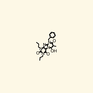 CCCn1c(=O)c2c(nc3n(Cc4ccccc4)c(=O)c(C)c(O)n23)n(CCC)c1=O